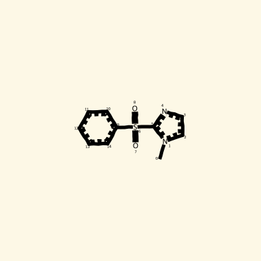 Cn1ccnc1S(=O)(=O)c1ccccc1